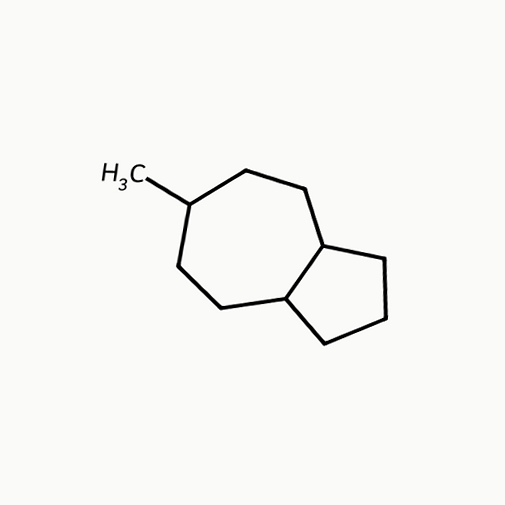 CC1CCC2CCCC2CC1